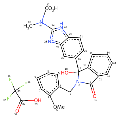 COc1ccccc1CN1C(=O)c2ccccc2C1(O)c1ccc2[nH]c(N(C)C(=O)O)nc2c1.O=C(O)C(F)(F)F